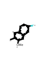 COc1cc2cc(F)ccc2cc1C